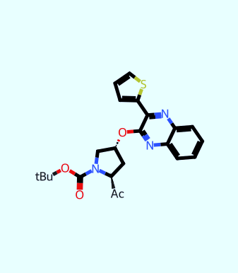 CC(=O)[C@@H]1C[C@@H](Oc2nc3ccccc3nc2-c2cccs2)CN1C(=O)OC(C)(C)C